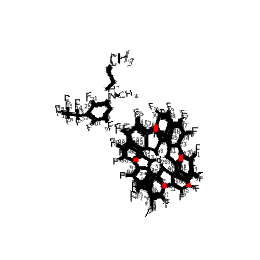 CCCC[NH+](C)c1cc(F)c(F)c(C(F)(F)C(F)(F)F)c1F.Fc1cc2c(c(F)c1F)-c1c(F)c(F)c(F)c(F)c1C2[B-](C1c2cc(F)c(F)c(F)c2-c2c(F)c(F)c(F)c(F)c21)(C1c2cc(F)c(F)c(F)c2-c2c(F)c(F)c(F)c(F)c21)C1c2cc(F)c(F)c(F)c2-c2c(F)c(F)c(F)c(F)c21